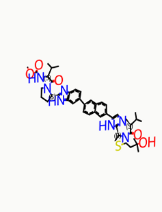 COC(=O)N[C@H](C(=O)N1CCC[C@H]1c1nc2ccc(-c3ccc4cc(-c5cnc([C@@H]6CSC(CC(C)(C)O)N6C(=O)[C@@H](C)C(C)C)[nH]5)ccc4c3)cc2[nH]1)C(C)C